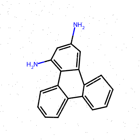 Nc1cc(N)c2c3ccccc3c3ccccc3c2c1